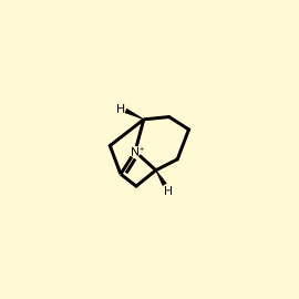 C1C[C@@H]2CC3=[N+]2[C@@H](C1)C3